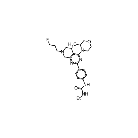 CCNC(=O)Nc1ccc(-c2nc3c(c(N4CCOC[C@@H]4C)n2)CCN(CCCF)C3)cc1